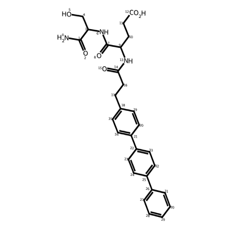 NC(=O)C(CO)NC(=O)C(CCC(=O)O)NC(=O)CCc1ccc(-c2ccc(-c3ccccc3)cc2)cc1